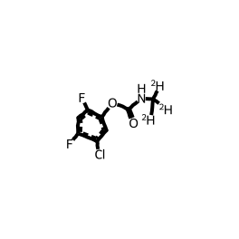 [2H]C([2H])([2H])NC(=O)Oc1cc(Cl)c(F)cc1F